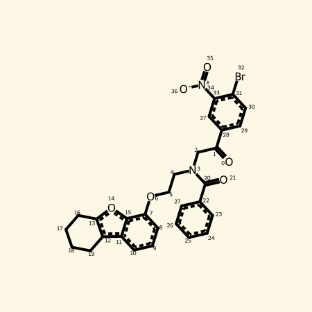 O=C(CN(CCOc1cccc2c3c(oc12)CCCC3)C(=O)c1ccccc1)c1ccc(Br)c([N+](=O)[O-])c1